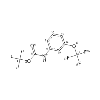 CC(C)(C)OC(=O)Nc1cccc(OC(F)(F)F)c1